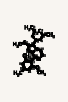 CCCN(CC(C)C)c1c(SC)nc2c(-c3c(C)cc(C)cc3OC)nccn12